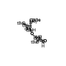 CC(C)(C)OC(=O)CN(CCN(CCN(CC(=O)OC(C)(C)C)CC(=O)OC(C)(C)C)CC(=O)NCc1ccc(CCC(=O)NNC(=O)[C@@H](Cc2c[nH]c3ccccc23)NC(=O)OC(C)(C)C)cc1)CC(=O)O